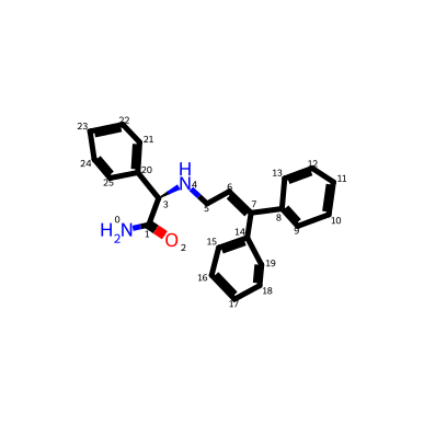 NC(=O)[C@H](NCC=C(c1ccccc1)c1ccccc1)c1ccccc1